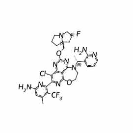 Cc1cc(N)nc(-c2nc3c4c(nc(OC[C@@]56CCCN5C[C@H](F)C6)nc4c2Cl)N([C@H](C)c2cccnc2N)CCO3)c1C(F)(F)F